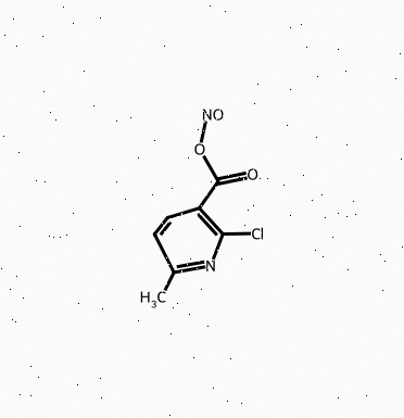 Cc1ccc(C(=O)ON=O)c(Cl)n1